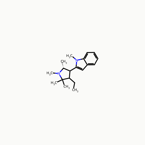 CCC1C(c2cc3ccccc3n2C)[C@@H](C)N(C)C1(C)C